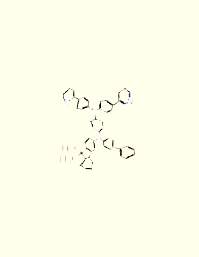 CC1(C)C2=CC=CCC2c2cc(N(C3=CCC(N(c4ccc(C5=CN=CCC5)cc4)c4ccc(-c5ccccn5)cc4)C=C3)c3ccc(-c4ccccc4)cc3)ccc21